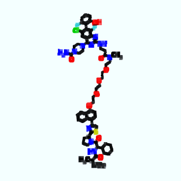 CN[C@@H](C)C(=O)NC(C(=O)N1CCC[C@H]1c1nc(-c2ccc(OCCOCCOCCOCCN(C)C(=O)CCNc3nc(N4CCN(C(N)=O)CC4)c4cc(Cl)c(-c5c(O)cccc5F)c(F)c4n3)c3ccccc23)cs1)C1CCCCC1